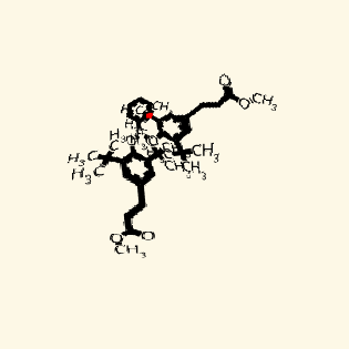 COC(=O)CCc1cc(C(C)(C)C)c(OP(Oc2c(C(C)(C)C)cc(CCC(=O)OC)cc2C(C)(C)C)c2ccccc2)c(C(C)(C)C)c1